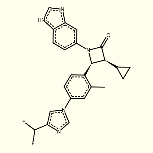 Cc1cc(-n2cnc(C(F)F)c2)ccc1[C@@H]1[C@H](C2CC2)C(=O)N1c1ccc2[nH]cnc2c1